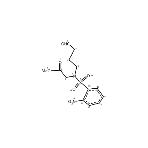 COC(=O)CN(CCCC=O)S(=O)(=O)c1ccccc1[N+](=O)[O-]